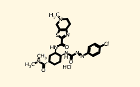 CN1CCc2nc(C(=O)N[C@@H]3C[C@@H](C(=O)N(C)C)CC[C@@H]3NC(=O)/N=N/c3ccc(Cl)cc3)sc2C1.Cl